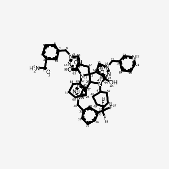 NC(=O)c1cccc(Cn2cc(CC(c3cn(Cc4cccnc4)nn3)(C(c3cn(Cc4cccc(C(F)(F)F)c4)nn3)N(C(=O)O)C3CCCCC3)N(C(=O)O)C3CCCCC3)nn2)c1